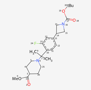 COC(=O)C1CCN(C(C)(C)c2ccc(C3CN(C(=O)OC(C)(C)C)C3)cc2F)CC1